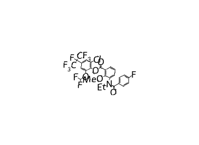 CCN(C(=O)c1ccc(F)cc1)c1cccc(C(=O)Oc2c(Cl)cc(C(F)(C(F)(F)F)C(F)(F)F)cc2OC(F)F)c1OC